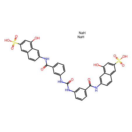 O=C(Nc1cccc(C(=O)Nc2ccc3cc(S(=O)(=O)O)cc(O)c3c2)c1)Nc1cccc(C(=O)Nc2ccc3cc(S(=O)(=O)O)cc(O)c3c2)c1.[NaH].[NaH]